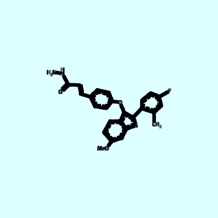 COc1ccc2c(Oc3ccc(C=CC(=O)NN)cc3)c(-c3ccc(F)cc3C)sc2c1